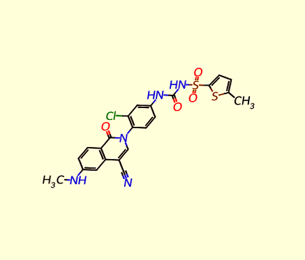 CNc1ccc2c(=O)n(-c3ccc(NC(=O)NS(=O)(=O)c4ccc(C)s4)cc3Cl)cc(C#N)c2c1